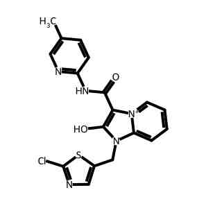 Cc1ccc(NC(=O)c2c(O)n(Cc3cnc(Cl)s3)c3cccc[n+]23)nc1